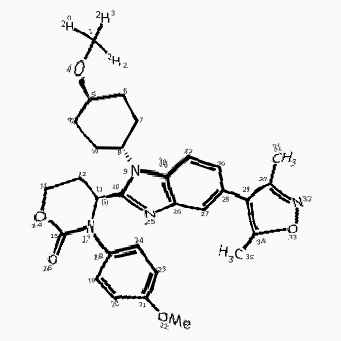 [2H]C([2H])([2H])O[C@H]1CC[C@H](n2c([C@@H]3CCOC(=O)N3c3ccc(OC)cc3)nc3cc(-c4c(C)noc4C)ccc32)CC1